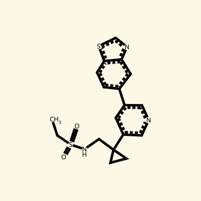 CCS(=O)(=O)NCC1(c2cncc(-c3ccc4scnc4c3)c2)CC1